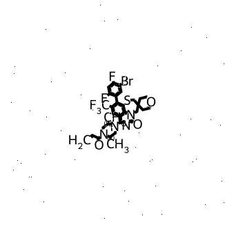 C=CC(=O)N1C[C@H](C)N(c2nc(=O)n3c4c(c(-c5cc(Br)c(F)cc5F)c(C(F)(F)F)cc24)SCC2(CCOCC2)C3)C[C@H]1C